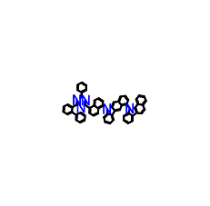 c1ccc(-c2nc(-c3ccccc3-c3ccccc3)nc(-c3cccc4c(-n5c6ccccc6c6cc7c(-n8c9ccccc9c9ccc%10ccccc%10c98)cccc7cc65)cccc34)n2)cc1